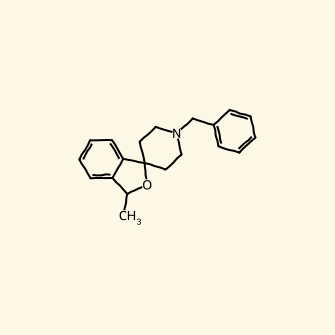 CC1OC2(CCN(Cc3ccccc3)CC2)c2ccccc21